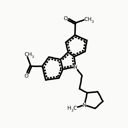 CC(=O)c1ccc2c(c1)c1cc(C(C)=O)ccc1n2CCC1CCCN1C